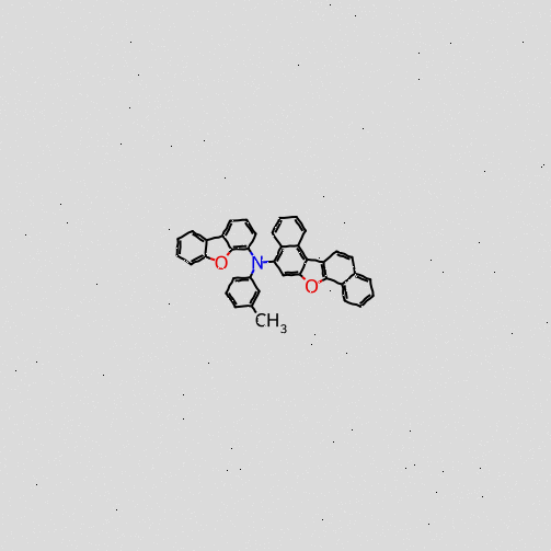 Cc1cccc(N(c2cc3oc4c5ccccc5ccc4c3c3ccccc23)c2cccc3c2oc2ccccc23)c1